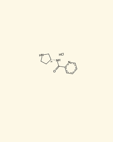 Cl.O=C(N[C@@H]1CCNC1)c1ccccn1